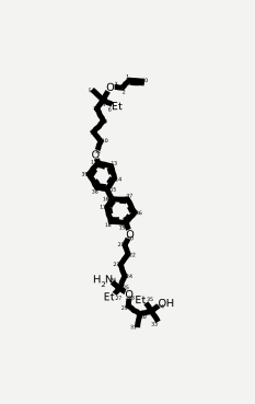 C=CCOC(C)(CC)CCCCOc1ccc(-c2ccc(OCCCCC(N)(CC)OCC(C)C(C)(O)CC)cc2)cc1